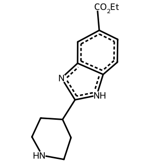 CCOC(=O)c1ccc2[nH]c(C3CCNCC3)nc2c1